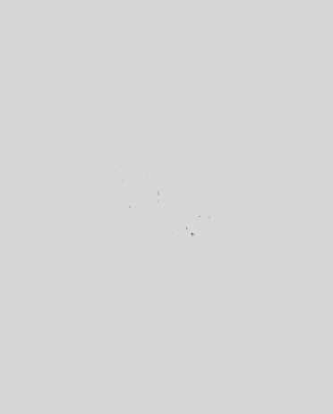 COc1ccc(C2CC(=O)N(C)C2)cc1